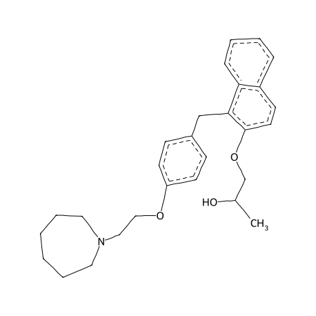 CC(O)COc1ccc2ccccc2c1Cc1ccc(OCCN2CCCCCC2)cc1